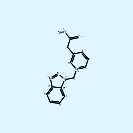 COC(=O)Cc1ccc[n+](Cn2nnc3ccccc32)c1